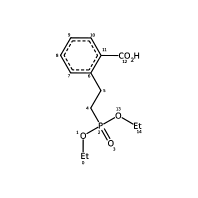 CCOP(=O)(CCc1ccccc1C(=O)O)OCC